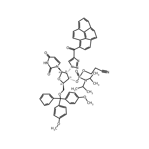 COc1ccc(C(OC[C@H]2O[C@@H](n3ccc(=O)[nH]c3=O)[C@H](n3cc(C(=O)c4ccc5ccc6cccc7ccc4c5c67)nn3)[C@@H]2OP(=O)(OCCC#N)N(C(C)C)C(C)C)(c2ccccc2)c2ccc(OC)cc2)cc1